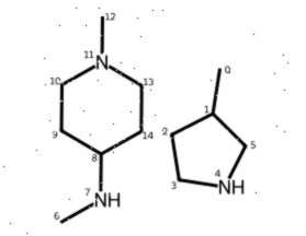 CC1CCNC1.CNC1CCN(C)CC1